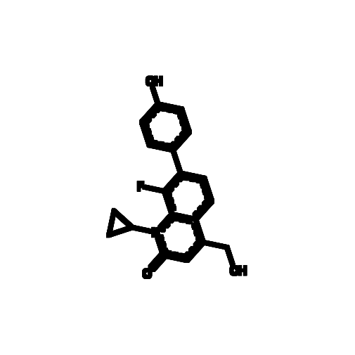 O=c1cc(CO)c2ccc(-c3ccc(O)cc3)c(F)c2n1C1CC1